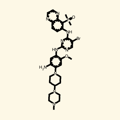 COc1cc(N2CCC(N3CCN(C)CC3)CC2)c(N)cc1Nc1ncc(Br)c(Nc2ccc3nccnc3c2P(C)(C)=O)n1